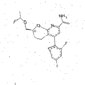 C=C(N)c1cc(-c2ccc(F)cc2F)c2c(n1)O[C@H](COC(C)F)CC2